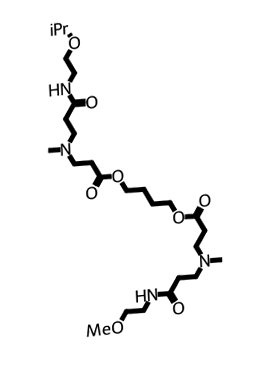 COCCNC(=O)CCN(C)CCC(=O)OCCCCOC(=O)CCN(C)CCC(=O)NCCOC(C)C